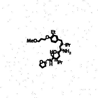 CCc1cc(C[C@@H](C[C@H](N)[C@@H](O)C[C@H](C(=O)NC[C@@H]2CCCO2)C(C)C)C(C)C)ccc1OCCCOC